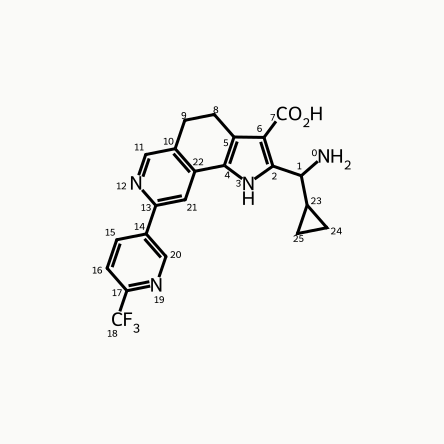 NC(c1[nH]c2c(c1C(=O)O)CCc1cnc(-c3ccc(C(F)(F)F)nc3)cc1-2)C1CC1